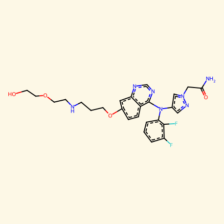 NC(=O)Cn1cc(N(c2cccc(F)c2F)c2ncnc3cc(OCCCNCCOCCO)ccc23)cn1